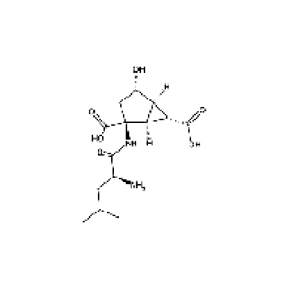 CC(C)C[C@H](N)C(=O)N[C@@]1(C(=O)O)C[C@H](O)[C@H]2[C@H](C(=O)O)[C@H]21